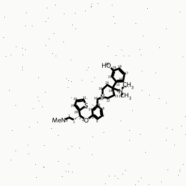 CNCC[C@@H](Oc1cccc(CN2CCC(c3cccc(O)c3)(N(C)C)CC2)c1)c1cccs1